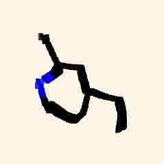 [2H]c1cc(C=C)ccn1